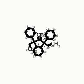 C=CC(C=C)(c1ccccc1)c1ccccc1C(C=C)(C=C)c1ccccc1